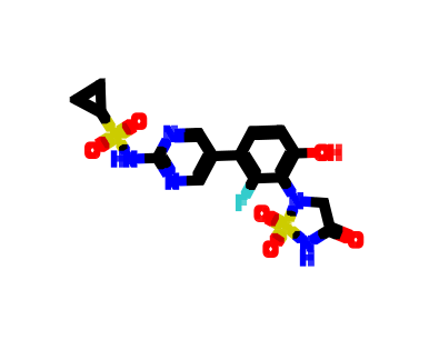 O=C1CN(c2c(O)ccc(-c3cnc(NS(=O)(=O)C4CC4)nc3)c2F)S(=O)(=O)N1